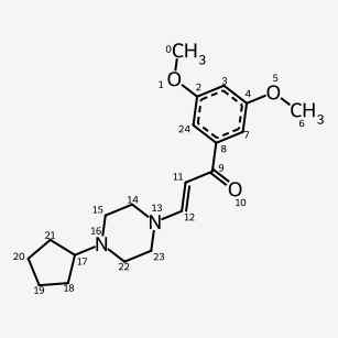 COc1cc(OC)cc(C(=O)C=CN2CCN(C3CCCC3)CC2)c1